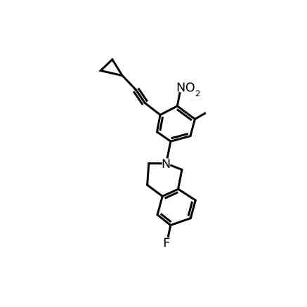 Cc1cc(N2CCc3cc(F)ccc3C2)cc(C#CC2CC2)c1[N+](=O)[O-]